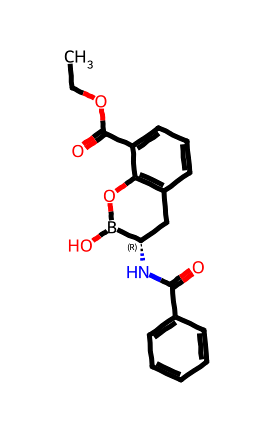 CCOC(=O)c1cccc2c1OB(O)[C@@H](NC(=O)c1ccccc1)C2